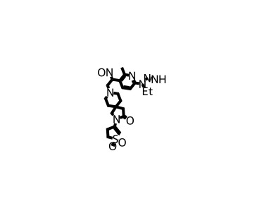 CCN(N=N)c1ccc(C(CN2CCC3(CC2)CC(=O)N(C2=CS(=O)(=O)CC2)C3)N=O)c(C)n1